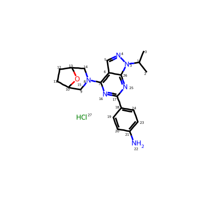 CC(C)n1ncc2c(N3CC4CCC(C3)O4)nc(-c3ccc(N)cc3)nc21.Cl